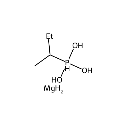 CCC(C)[PH](O)(O)O.[MgH2]